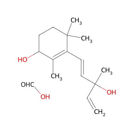 C=CC(C)(O)C=CC1=C(C)C(O)CCC1(C)C.O=CO